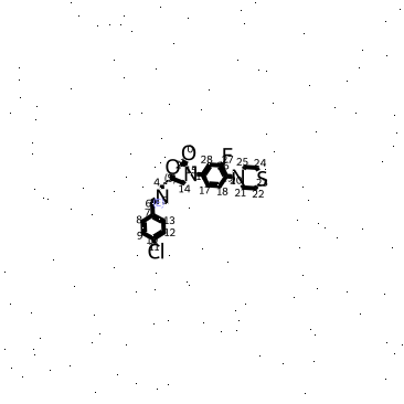 O=C1O[C@@H](C/N=C/c2ccc(Cl)cc2)CN1c1ccc(N2CCSCC2)c(F)c1